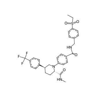 CCS(=O)(=O)c1ccc(CNC(=O)c2ccc(N3C[C@H](c4ccc(C(F)(F)F)cc4)CC[C@H]3C(=O)NC)cc2)cc1